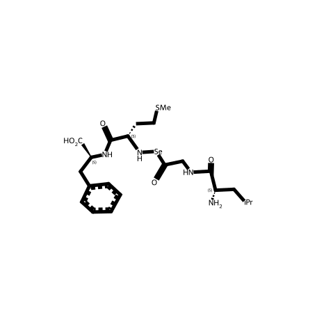 CSCC[C@H](N[Se]C(=O)CNC(=O)[C@@H](N)CC(C)C)C(=O)N[C@@H](Cc1ccccc1)C(=O)O